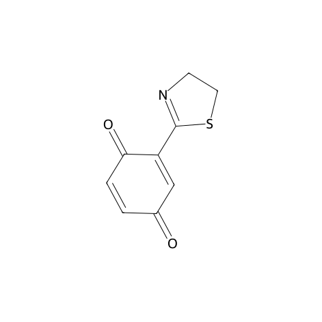 O=C1C=CC(=O)C(C2=NCCS2)=C1